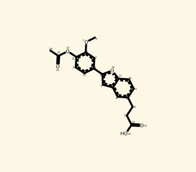 COc1cc(-c2cc3cc(CCC(=O)O)ccc3o2)ccc1OC(C)=O